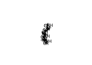 CNC(=O)c1cc(NC(=O)c2cc(NC(=O)c3nc(NC(C)=O)cn3C)cn2C)cn1C